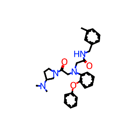 Cc1cccc(CNC(=O)CN(CC(=O)N2CCC(N(C)C)C2)c2ccccc2Oc2ccccc2)c1